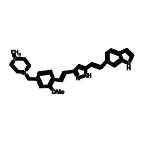 COc1cc(CN2CCN(C)CC2)ccc1/C=C/c1cc(C=Cc2ccc3cc[nH]c3c2)[nH]n1